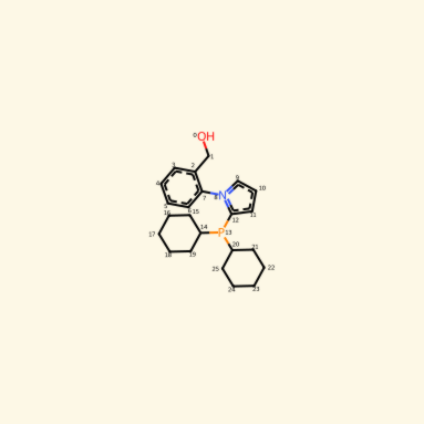 OCc1ccccc1-n1cccc1P(C1CCCCC1)C1CCCCC1